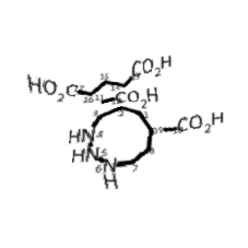 C1CCCNNNCC1.CC(=O)O.CC(=O)O.O=C(O)CCCC(=O)O